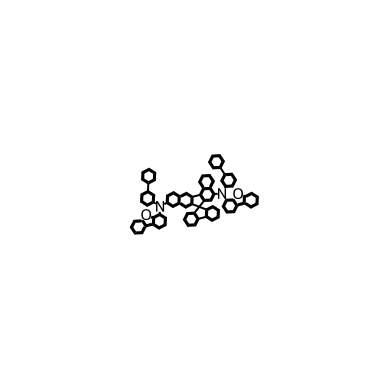 c1ccc(-c2cccc(N(c3ccc4cc5c(cc4c3)C3(c4ccccc4-c4ccccc43)c3cc(N(c4cccc(-c6ccccc6)c4)c4cccc6c4oc4ccccc46)c4ccccc4c3-5)c3cccc4c3oc3ccccc34)c2)cc1